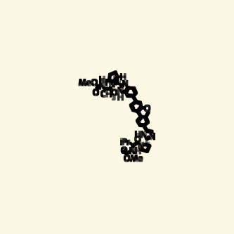 COC(=O)N[C@@H](C)C(=O)N1[C@@H]2CC[C@@H](C2)[C@H]1c1nc2ccc(-c3ccc4c(c3)OCc3cc(-c5cnc([C@@H]6CCCN6C(=O)[C@@H](NC(=O)OC)C(C)C)[nH]5)ccc3-4)cc2[nH]1